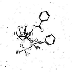 CC(C)[Si]1(C(C)C)O[C@H]2[C@](O)(COC(=O)c3ccccc3)[C@H](O)[C@H]3OC(=O)C[C@@H](NOCc4ccccc4)[C@]32O[Si](C(C)C)(C(C)C)O1